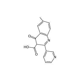 Cc1ccc2c(c1)C(=O)C(C(=O)O)C(c1cccnc1)=N2